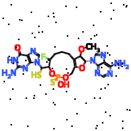 CO[C@@H]1C2=C(COP(O)(=S)O[C@@H]([C@@H](S)n3cnc4c(=O)[nH]c(N)nc43)[C@@H](F)CCC2)O[C@H]1n1cnc2c(N)ncnc21